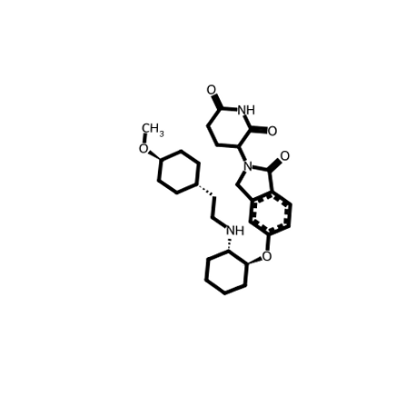 CO[C@H]1CC[C@H](CCN[C@H]2CCCC[C@@H]2Oc2ccc3c(c2)CN(C2CCC(=O)NC2=O)C3=O)CC1